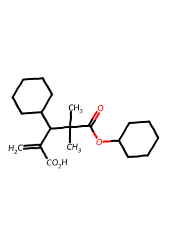 C=C(C(=O)O)C(C1CCCCC1)C(C)(C)C(=O)OC1CCCCC1